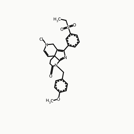 CCS(=O)(=O)c1cccc(C2=C3CN(Cl)C=CC34CCC(=O)N(Cc3ccc(OC)cc3)C4=N2)c1